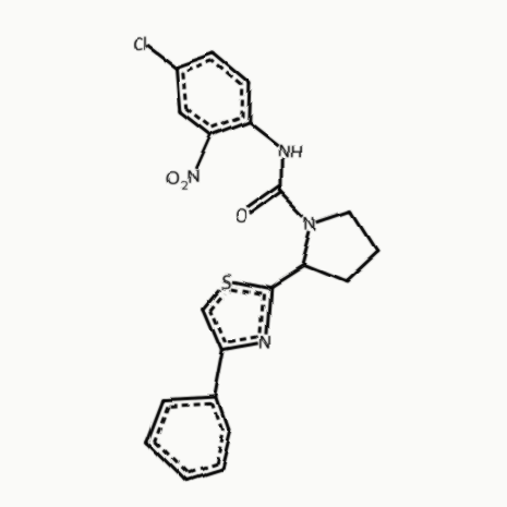 O=C(Nc1ccc(Cl)cc1[N+](=O)[O-])N1CCCC1c1nc(-c2ccccc2)cs1